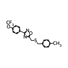 Cc1ccc(CSCc2nc(-c3ccc(OC(F)(F)F)cc3)no2)cc1